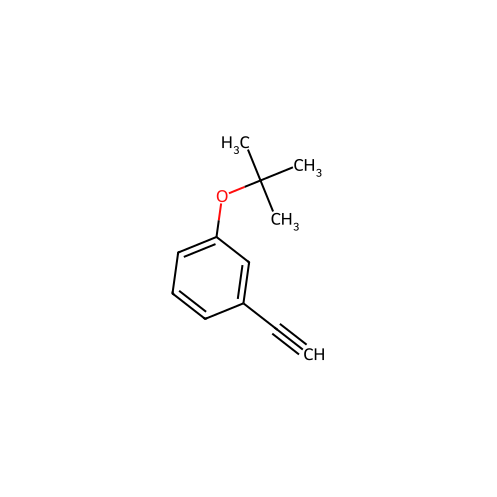 C#Cc1cccc(OC(C)(C)C)c1